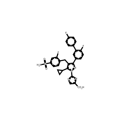 NS(=O)(=O)c1ccc(Cc2c(-c3ccc(F)c(-c4ccc(F)cc4)c3)nn(-c3nc(C(=O)O)cs3)c2C2CC2)c(F)c1